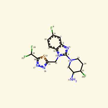 NC1CN(c2nc3cc(F)ccc3n2Cc2nnc(C(F)F)s2)CCC1F